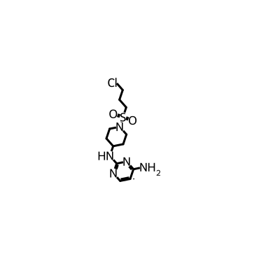 Nc1[c]cnc(NC2CCN(S(=O)(=O)CCCCl)CC2)n1